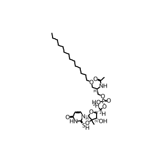 [2H]C([2H])(OP(=O)(O)OC[C@@H](COCCCCCCCCCCCCCC)NC(C)=O)[C@H]1O[C@@H](n2ccc(=O)[nH]c2=S)C(C)(O)[C@H]1O